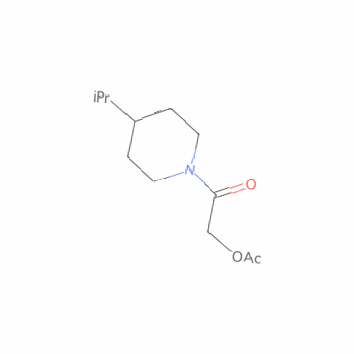 CC(=O)OCC(=O)N1CCC(C(C)C)CC1